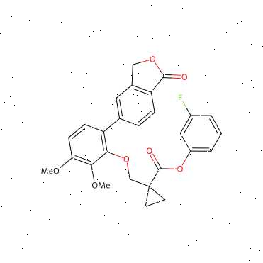 COc1ccc(-c2ccc3c(c2)COC3=O)c(OCC2(C(=O)Oc3cccc(F)c3)CC2)c1OC